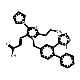 CCCc1nc(-n2cccc2)c(C=CC(=O)O)n1Cc1ccc(-c2ccccc2)c(-c2nnn[nH]2)c1